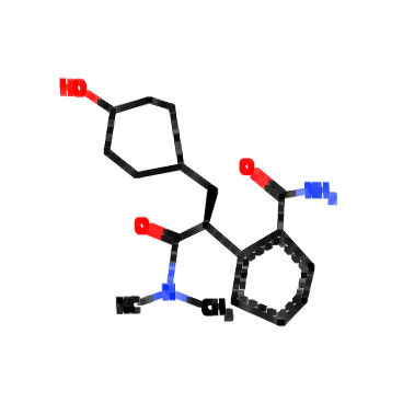 CN(C#N)C(=O)[C@@H](CC1CCC(O)CC1)c1ccccc1C(N)=O